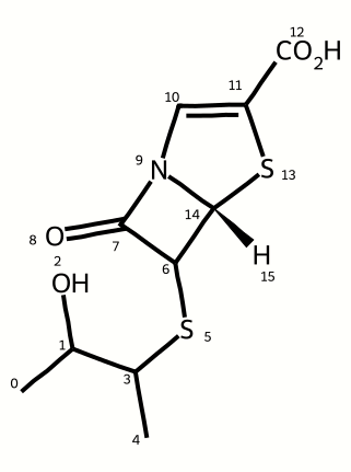 CC(O)C(C)SC1C(=O)N2C=C(C(=O)O)S[C@H]12